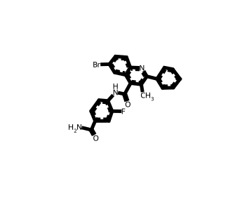 Cc1c(-c2ccccc2)nc2ccc(Br)cc2c1C(=O)Nc1ccc(C(N)=O)cc1F